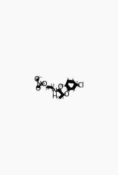 CC(Oc1cccc(Cl)c1)C(=O)NCCO[N+](=O)[O-]